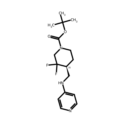 CC(C)(C)OC(=O)N1CC[C@@H](CNc2ccncc2)C(F)(F)C1